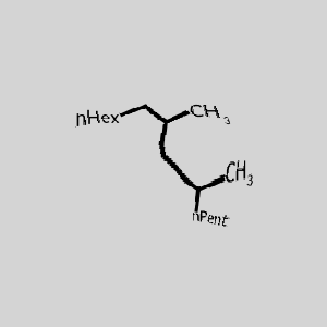 CCCCCCCC(C)CC(C)CCCCC